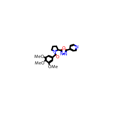 COc1cc(C(=O)N2CCCC2c2nnc(-c3ccncc3)o2)cc(OC)c1OC